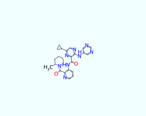 CC1CCCCN1C(=O)c1ncccc1NC(=O)c1nc(C2CC2)cnc1Nc1cncnc1